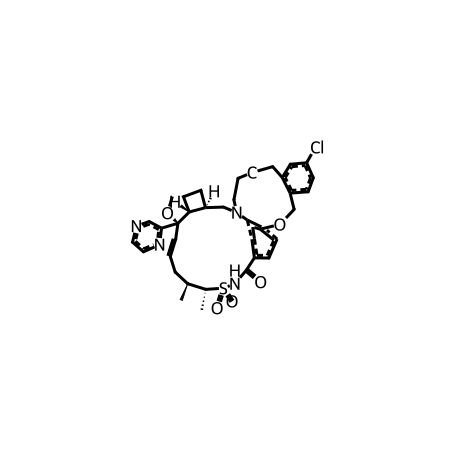 CO[C@]1(c2cnccn2)/C=C/C[C@H](C)[C@@H](C)S(=O)(=O)NC(=O)c2ccc3c(c2)N(CCCCc2cc(Cl)ccc2CO3)C[C@@H]2CC[C@H]21